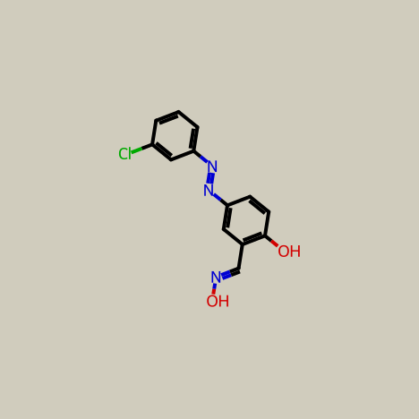 ON=Cc1cc(N=Nc2cccc(Cl)c2)ccc1O